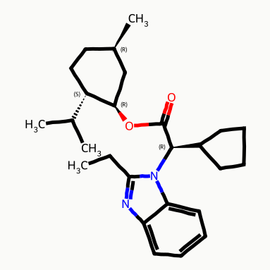 CCc1nc2ccccc2n1[C@@H](C(=O)O[C@@H]1C[C@H](C)CC[C@H]1C(C)C)C1CCCC1